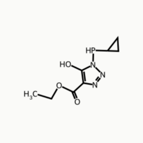 CCOC(=O)c1nnn(PC2CC2)c1O